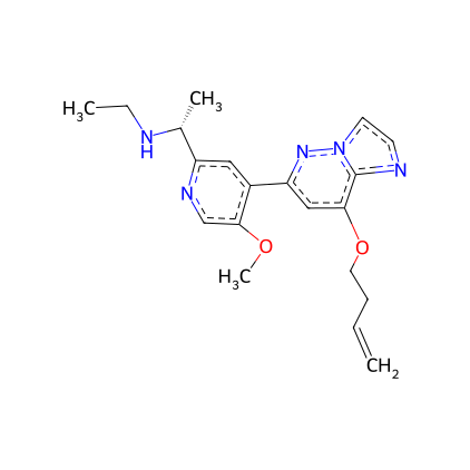 C=CCCOc1cc(-c2cc([C@@H](C)NCC)ncc2OC)nn2ccnc12